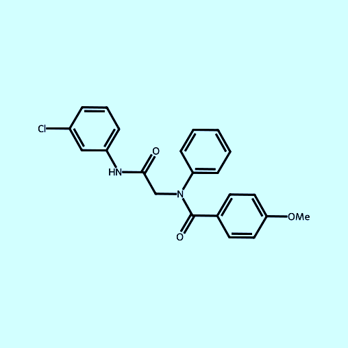 COc1ccc(C(=O)N(CC(=O)Nc2cccc(Cl)c2)c2ccccc2)cc1